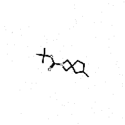 CC1CCC2(C1)CN(C(=O)OC(C)(C)C)C2